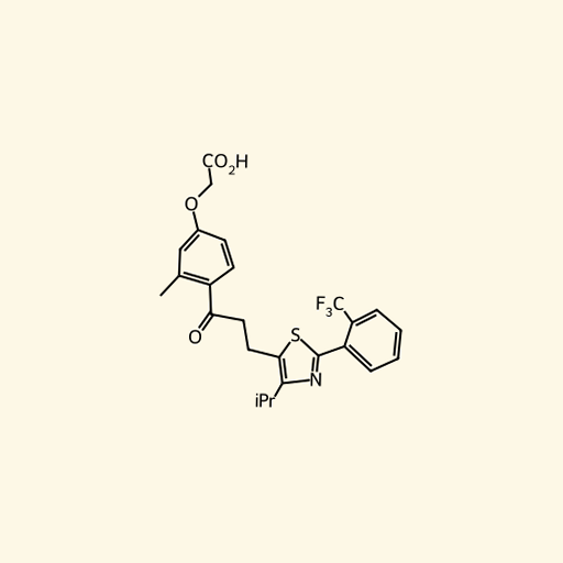 Cc1cc(OCC(=O)O)ccc1C(=O)CCc1sc(-c2ccccc2C(F)(F)F)nc1C(C)C